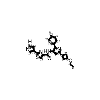 CCO[C@H]1C[C@H](n2cc(NC(=O)c3csc(-c4cn[nH]c4)n3)c(-c3ccc(F)cn3)n2)C1